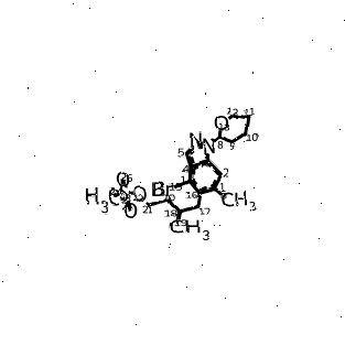 Cc1cc2c(cnn2C2CCCCO2)c(Br)c1CC(C)CCOS(C)(=O)=O